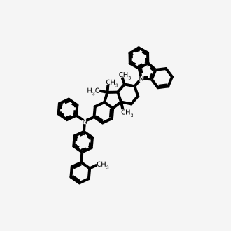 CC1CC=CC=C1c1ccc(N(C2=CC=C3C(C2)C(C)(C)C2C(C)C(n4c5c(c6ccccc64)CCC=C5)CCC32C)c2ccccc2)cc1